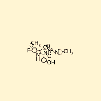 COc1cc2c3c([nH]c2cc1F)[C@@H](c1cccc(O)c1)N1C(=O)N(CCN2CCC(C)CC2)C(=O)[C@]1(C)C3